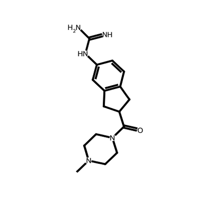 CN1CCN(C(=O)C2Cc3ccc(NC(=N)N)cc3C2)CC1